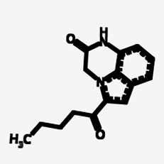 CCCCC(=O)c1cc2cccc3c2n1CC(=O)N3